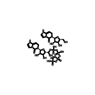 O=C1N2C=CNC2=CCN1[C@@H]1O[C@H](C(O)OP(=O)(O)OP(=O)(O)OP(=O)(O)OP(=O)(O)O)[C@@H](O)[C@H]1O.O=C1N2C=CNC2=CCN1[C@@H]1O[C@H](CO)[C@@H](O)[C@H]1O